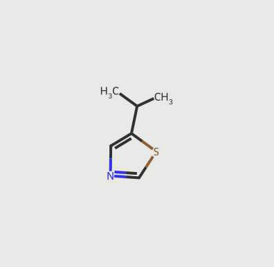 CC(C)c1cncs1